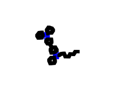 CCCC/C=C\C=C/CN(c1ccccc1)c1ccc(-c2ccc(N(c3ccccc3)c3ccccc3)cc2)cc1